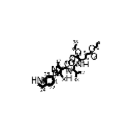 CCOC(=O)CC[C@@H](NC(=O)[C@@H](NC(=O)c1c(C)nn(-c2ccc3cc[nH]c3c2)c1C)C(C)C)C(=O)OCC